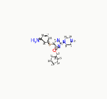 CN1CCN(c2ncc(Sc3cccc(N)c3)c(OCc3ccccc3)n2)CC1